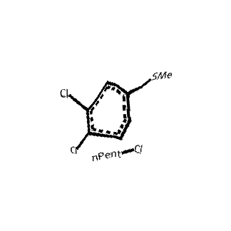 CCCCCCl.CSc1ccc(Cl)c(Cl)c1